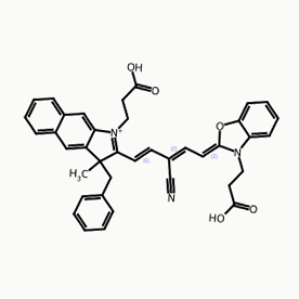 CC1(Cc2ccccc2)C(/C=C/C(C#N)=C/C=C2\Oc3ccccc3N2CCC(=O)O)=[N+](CCC(=O)O)c2cc3ccccc3cc21